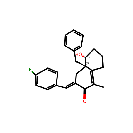 CC1=C2CCC[C@H](O)[C@@]2(Cc2ccccc2)CC(=Cc2ccc(F)cc2)C1=O